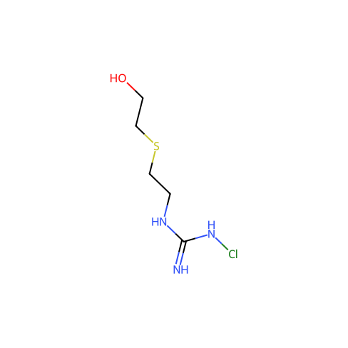 N=C(NCl)NCCSCCO